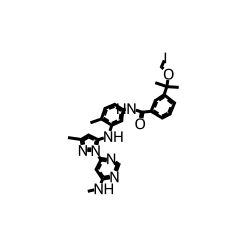 CNc1cc(-n2nc(C)cc2Nc2cc(NC(=O)c3cccc(C(C)(C)OCI)c3)ccc2C)ncn1